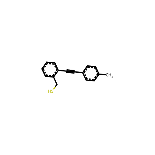 Cc1ccc(C#Cc2ccccc2CS)cc1